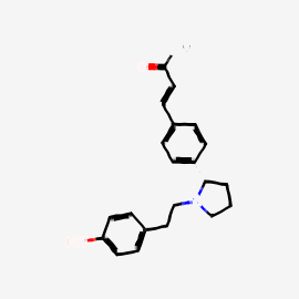 COC(=O)C=Cc1ccc([C@@H]2CCCN2CCc2ccc(O)cc2)cc1